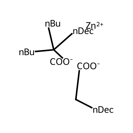 CCCCCCCCCCC(CCCC)(CCCC)C(=O)[O-].CCCCCCCCCCCC(=O)[O-].[Zn+2]